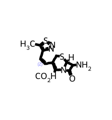 Cc1snnc1/C=C\C1=C(C(=O)O)N2C(=O)C(N)[C@H]2SC1